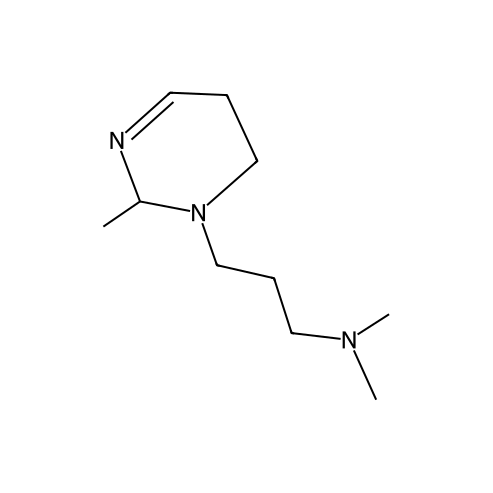 CC1N=CCCN1CCCN(C)C